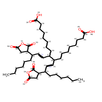 CCCCCCC(/C=C/C(CCCCCCCC(=O)O)C(/C=C/C(CCCCCC)C1CC(=O)OC1=O)CCCCCCCC(=O)O)C1CC(=O)OC1=O